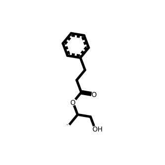 [CH2]C(CO)OC(=O)CCc1ccccc1